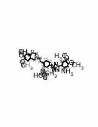 COc1cc(N)c(-c2nnn(-c3ccc(CCN4CCc5cc(OC)c(OC)cc5C4)cc3)n2)cc1OC.CS(=O)(=O)O